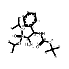 CC(C)OP(=O)(OC(C)C)C(N)C(NC(=O)OC(C)(C)C)c1ccccc1